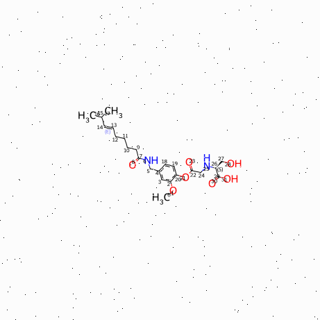 COc1cc(CNC(=O)CCCC/C=C/C(C)C)ccc1OC(=O)CN[C@@H](CO)C(=O)O